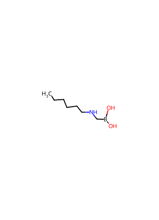 CCCCCCNCB(O)O